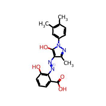 Cc1ccc(-n2nc(C)c(/N=N/c3c(O)cccc3C(=O)O)c2O)cc1C